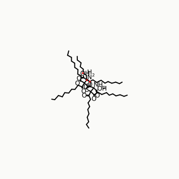 CCCCCCCCCC(=O)C(SSC(C(=O)CCCCCCCCC)(C(=O)CCCCCCCCC)[C@](N)(C(=O)O)C(=O)CCCCCCCCC)(C(=O)CCCCCCCCC)[C@](N)(C(=O)O)C(=O)CCCCCCCCC